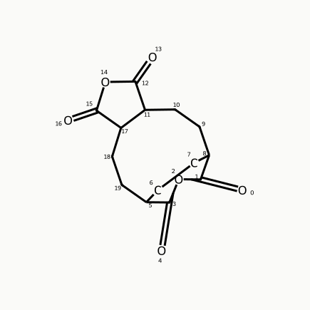 O=C1OC(=O)C2CCC1CCC1C(=O)OC(=O)C1CC2